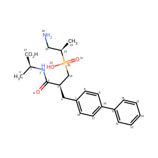 C[C@H](NC(=O)[C@H](Cc1ccc(-c2ccccc2)cc1)CP(=O)(O)[C@H](C)CN)C(=O)O